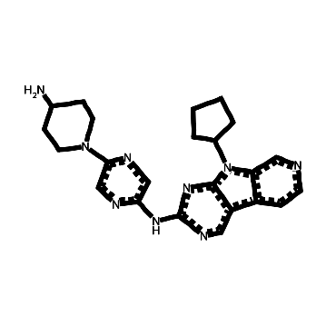 NC1CCN(c2cnc(Nc3ncc4c5ccncc5n(C5CCCC5)c4n3)cn2)CC1